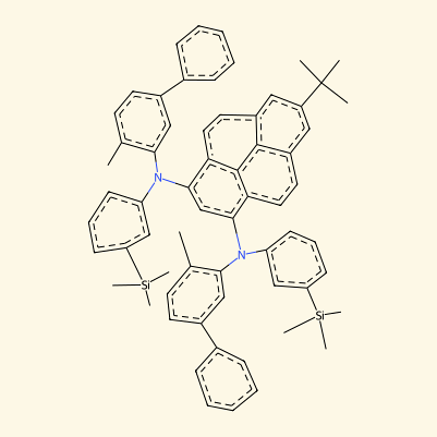 Cc1ccc(-c2ccccc2)cc1N(c1cccc([Si](C)(C)C)c1)c1cc(N(c2cccc([Si](C)(C)C)c2)c2cc(-c3ccccc3)ccc2C)c2ccc3cc(C(C)(C)C)cc4ccc1c2c43